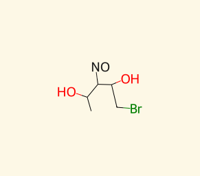 CC(O)C(N=O)C(O)CBr